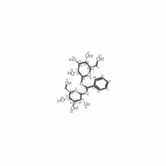 OC[C@H]1OC(OC(OC2O[C@H](CO)[C@@H](O)[C@H](O)[C@H]2O)c2ccccc2)[C@H](O)[C@@H](O)[C@@H]1O